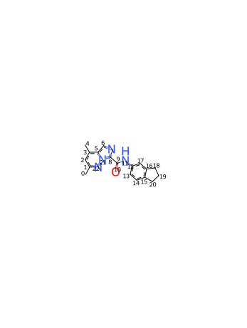 Cc1cc(C)c2cnc(C(=O)Nc3ccc4c(c3)CCC4)n2n1